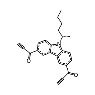 C#CC(=O)c1ccc2c(c1)c1cc(C(=O)C#C)ccc1n2C(C)CCCC